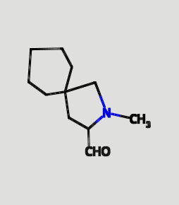 CN1CC2(CCCCC2)CC1C=O